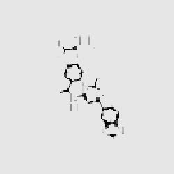 CCC(Oc1cccc(C(C)Nc2cc(-c3ccc4ncsc4c3)nc(C)n2)c1)C(N)=O